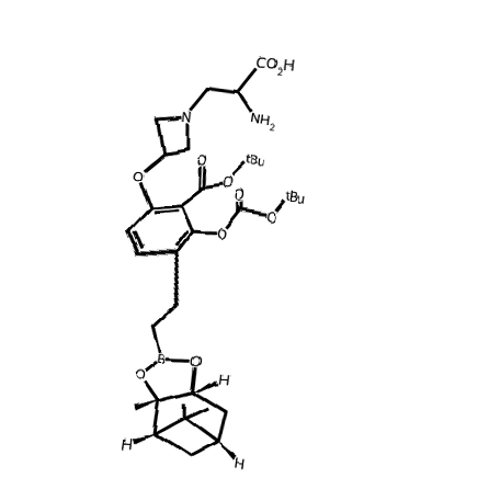 CC(C)(C)OC(=O)Oc1c(CCB2O[C@@H]3C[C@@H]4C[C@@H](C4(C)C)[C@]3(C)O2)ccc(OC2CN(CC(N)C(=O)O)C2)c1C(=O)OC(C)(C)C